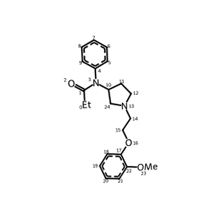 CCC(=O)N(c1ccccc1)C1CCN(CCOc2ccccc2OC)C1